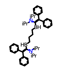 CC(C)N(C(BCCCCBC(=C(c1ccccc1)c1ccccc1)N(C(C)C)C(C)C)=C(c1ccccc1)c1ccccc1)C(C)C